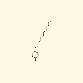 [CH]=CC=CCCCCCC[CH]c1ccc(C)cc1